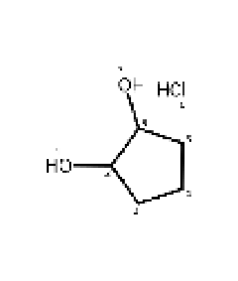 Cl.OC1CCCC1O